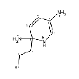 CCCC1(N)C=CC(N)=CN1